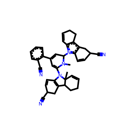 CN1C(N2C3=C(CC(C#N)C=C3)C3CCC=CC32C)=CC(c2ccccc2C#N)=CC1n1c2c(c3c1C=CC(C#N)C3)CCC=C2